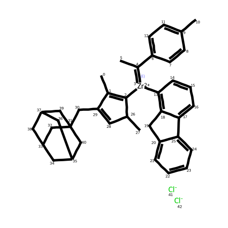 CC1=[C](/[Zr+2](=[C](\C)c2ccc(C)cc2)[c]2cccc3c2Cc2ccccc2-3)C(C)C=C1CC12CC3CC(CC(C3)C1)C2.[Cl-].[Cl-]